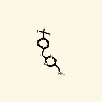 NCc1cnc(Oc2ccc(C(F)(F)F)cc2)nc1